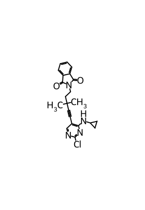 CC(C)(C#Cc1cnc(Cl)nc1NC1CC1)CCN1C(=O)c2ccccc2C1=O